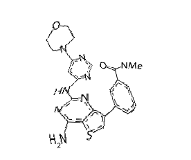 CNC(=O)c1cccc(-c2csc3c(N)nc(Nc4cc(N5CCOCC5)ncn4)nc23)c1